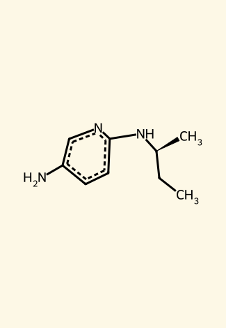 CC[C@H](C)Nc1ccc(N)cn1